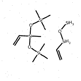 C=C[SiH2]O[SiH3].C=C[Si](C)(O[Si](C)(C)C)O[Si](C)(C)C